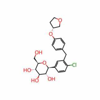 OC[C@H]1O[C@@H](c2ccc(Cl)c(Cc3ccc(O[C@@H]4CCOC4)cc3)c2)[C@H](O)[C@@H](O)[C@@H]1O